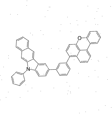 c1ccc(-n2c3ccc(-c4cccc(-c5ccc6c7c(cccc57)-c5ccccc5O6)c4)cc3c3cc4ccccc4cc32)cc1